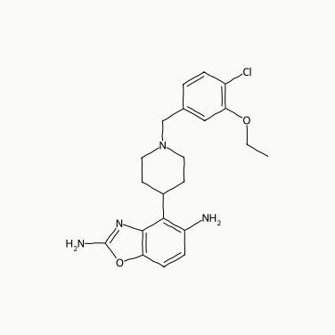 CCOc1cc(CN2CCC(c3c(N)ccc4oc(N)nc34)CC2)ccc1Cl